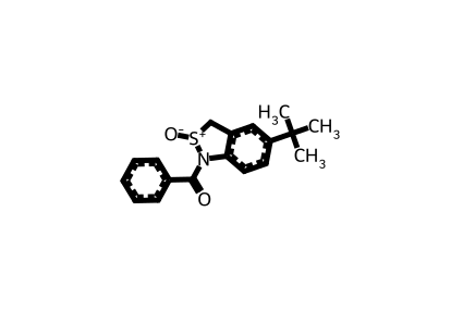 CC(C)(C)c1ccc2c(c1)C[S+]([O-])N2C(=O)c1ccccc1